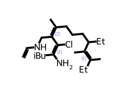 C=CNCC(=C(\C)CCCC(CC)/C(C)=C(\C)CC)/C(Cl)=C(/N)C(C)CC